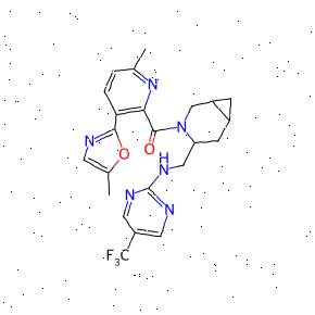 Cc1ccc(-c2ncc(C)o2)c(C(=O)N2CC3CC3CC2CNc2ncc(C(F)(F)F)cn2)n1